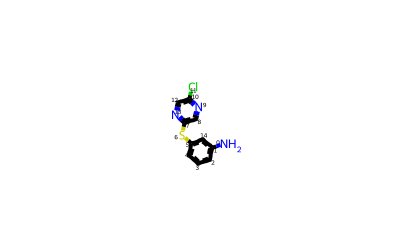 Nc1cccc(Sc2cnc(Cl)cn2)c1